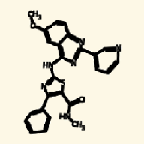 CNC(=O)c1sc(Nc2nc(-c3cccnc3)nc3ccc(OC)cc23)nc1-c1ccccc1